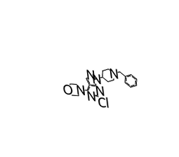 Clc1nc(N2CCOCC2)c2cnn(C3CCN(Cc4ccccc4)CC3)c2n1